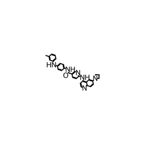 Cc1cccc(Nc2ccc(NC(=O)c3ccc(Nc4ccnc5ccc(N6CCC6)cc45)nc3)cc2)c1